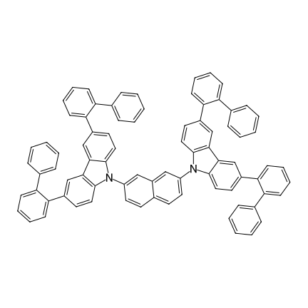 c1ccc(-c2ccccc2-c2ccc3c(c2)c2cc(-c4ccccc4-c4ccccc4)ccc2n3-c2ccc3ccc(-n4c5ccc(-c6ccccc6-c6ccccc6)cc5c5cc(-c6ccccc6-c6ccccc6)ccc54)cc3c2)cc1